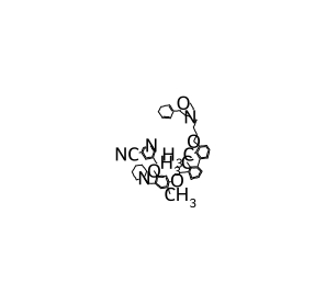 Cc1cc(CN2CCCCC2)c(OCc2cncc(C#N)c2)cc1OCc1cccc(-c2cccc(OCCCN3CCOC(C4=CCCC=C4)C3)c2C)c1C